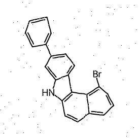 Brc1cccc2ccc3[nH]c4cc(-c5ccccc5)ccc4c3c12